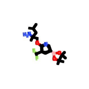 CC(C)CC(C)(N)COc1ncc(B2OC(C)(C)C(C)(C)O2)cc1C(F)F